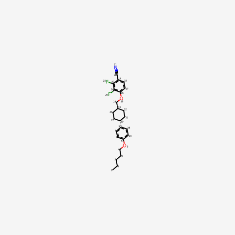 CCCCCOc1ccc([C@H]2CC[C@H](COc3ccc(C#N)c(F)c3F)CC2)cc1